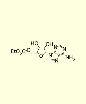 CCOC(=O)OC[C@H]1O[C@@H](n2cnc3c(N)ncnc32)[C@H](O)[C@@H]1O